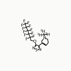 [2H]C([2H])([2H])N1CCC=C(c2nsnc2OCC(F)(F)C(F)(F)C(F)(F)C(F)(F)C(F)(F)F)C1